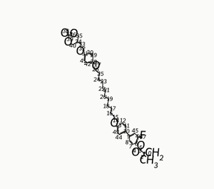 C=C(C)C(=O)Oc1ccc(-c2ccc(OCCCCCCCCCCCCOc3ccc(OCC4COC(=O)OC4)cc3)cc2)cc1F